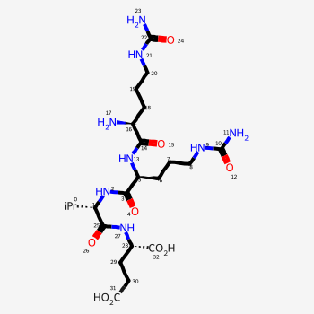 CC(C)[C@H](NC(=O)[C@H](CCCNC(N)=O)NC(=O)[C@@H](N)CCCNC(N)=O)C(=O)N[C@@H](CCC(=O)O)C(=O)O